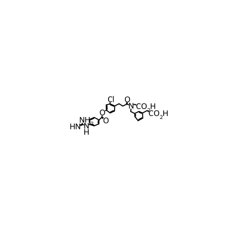 N=C(N)Nc1ccc(C(=O)Oc2ccc(CCC(=O)N(CC(=O)O)Cc3cccc(CC(=O)O)c3)c(Cl)c2)cc1